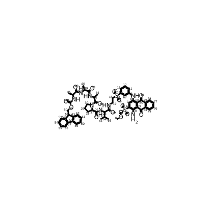 COOS(=O)(=O)c1cc(Nc2cccc(S(=O)(=O)CCNC(=O)C(NC(=O)C3CCCN3C(=O)C(C)NC(=O)C(C)NC(=O)C(C)NC(=O)OCC3c4ccccc4-c4ccccc43)C(C)C)c2)c2c(c1N)C(=O)c1ccccc1C2=O